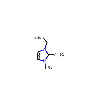 CCCCCCCCCCN1C=CN(CCCC)C1CCCCCC